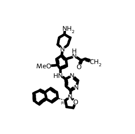 C=CC(=O)Nc1cc(Nc2cc(N3OCC[C@@H]3c3ccc4ccccc4c3)ncn2)c(OC)cc1N1CCC(N)CC1